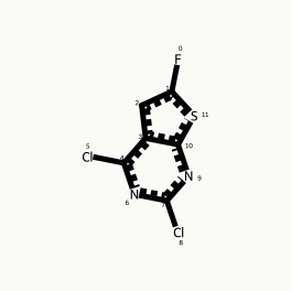 Fc1cc2c(Cl)nc(Cl)nc2s1